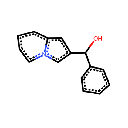 OC(c1ccccc1)c1cc2ccccn2c1